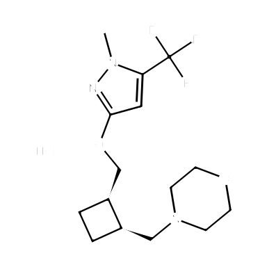 Cl.Cn1nc(OC[C@@H]2CC[C@@H]2CN2CCOCC2)cc1C(F)(F)F